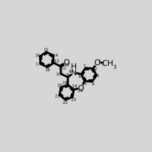 COc1ccc2c(c1)NC(CC(=O)c1ccccc1)c1ccccc1O2